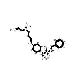 C=CCN(C)CCCO[C@H]1CC[C@H](N(C)S(=O)(=O)NCc2ccccc2)CC1